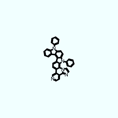 c1ccc(-n2c3ccccc3c3c4c5ccc6c7cnccc7c7nccn7c6c5n(-c5ccccc5)c4ccc32)cc1